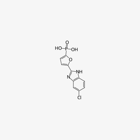 O=P(O)(O)c1ccc(-c2nc3cc(Cl)ccc3[nH]2)o1